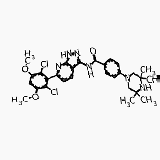 COc1cc(OC)c(Cl)c(-c2ccc3c(NC(=O)c4ccc(N5CC(C)(C)NC(C)(C)C5)cc4)n[nH]c3n2)c1Cl